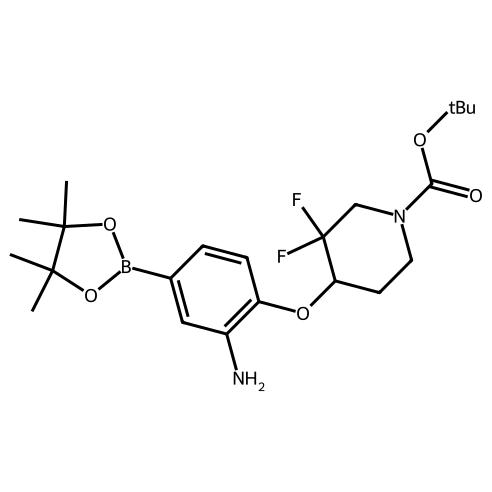 CC(C)(C)OC(=O)N1CCC(Oc2ccc(B3OC(C)(C)C(C)(C)O3)cc2N)C(F)(F)C1